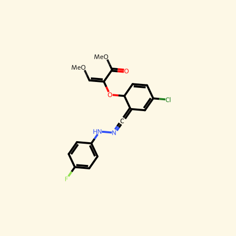 COC=C(OC1C=CC(Cl)=CC1=C=NNc1ccc(F)cc1)C(=O)OC